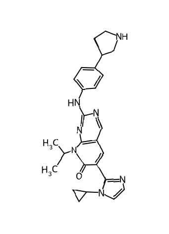 CC(C)n1c(=O)c(-c2nccn2C2CC2)cc2cnc(Nc3ccc(C4CCNC4)cc3)nc21